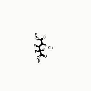 O=C(OF)C(F)C(F)C(F)(F)C(=O)OF.[Cu]